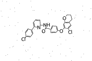 O=C(Nc1cccc(-c2ccc(Cl)cc2)n1)c1ccc(Oc2cc3c(cc2Cl)CCCO3)cc1